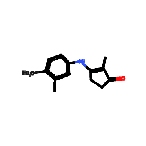 CC1=C(Nc2ccc(C(=O)O)c(C)c2)CCC1=O